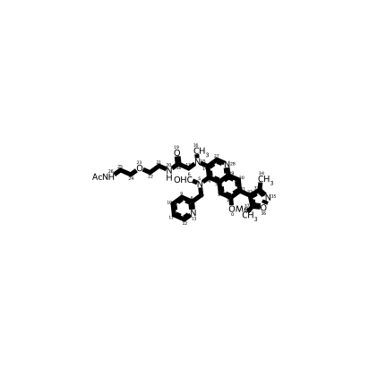 COc1cc2c(N(C=O)Cc3ccccn3)c(N(C)CC(=O)NCCOCCNC(C)=O)cnc2cc1-c1c(C)noc1C